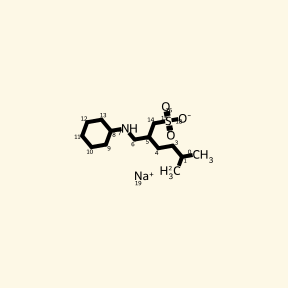 CC(C)CCC(CNC1CCCCC1)CS(=O)(=O)[O-].[Na+]